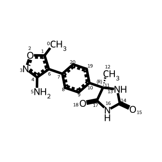 Cc1onc(N)c1-c1ccc([C@@]2(C)NC(=O)NC2=O)cc1